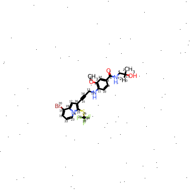 [2H]C(C)(O)CNC(=O)c1ccc(NCC#Cc2cc3c(Br)cccn3c2SC(F)(F)F)c(OC)c1